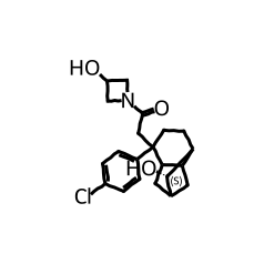 O=C(CC1(c2ccc(Cl)cc2)CCC2C3CC(CC31)[C@@H]2O)N1CC(O)C1